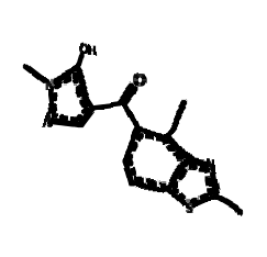 Cc1nc2c(C)c(C(=O)c3cnn(C)c3O)ccc2s1